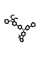 C=Cc1c(/C=C\C)n(-c2ccccc2)c2ccc(-c3ccc(N(c4ccc(-c5ccccc5)cc4)c4ccc5c(c4)C(C)(C)c4ccccc4-5)cc3)cc12